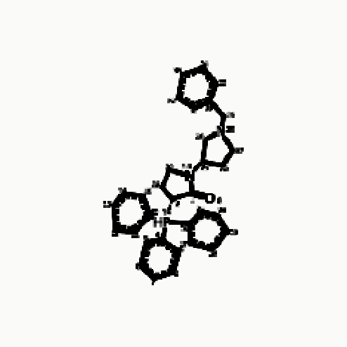 O=C1[C@H]([PH](c2ccccc2)(c2ccccc2)c2ccccc2)CCN1[C@@H]1CCN(Cc2ccccc2)C1